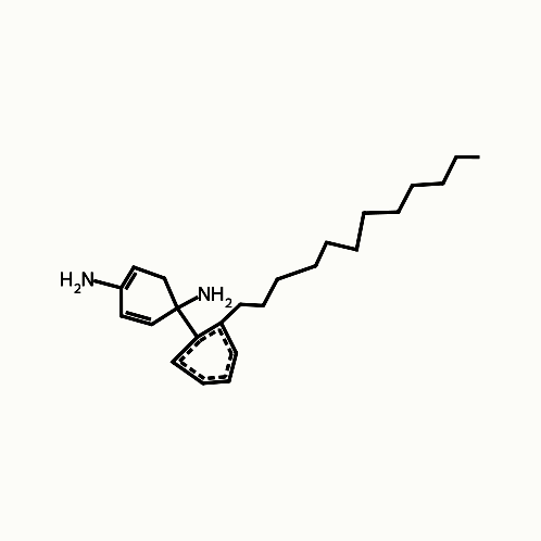 CCCCCCCCCCCCc1ccccc1C1(N)C=CC(N)=CC1